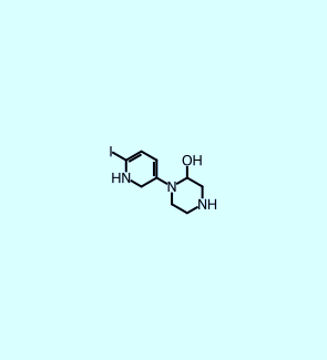 OC1CNCCN1C1=CC=C(I)NC1